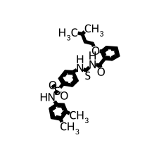 Cc1ccc(NS(=O)(=O)c2ccc(NC(=S)NC(=O)c3ccccc3OCCC(C)C)cc2)cc1C